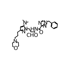 CN(C)c1cc(CCCN2CCOCC2)nn1CCC(C=O)NC(=O)c1ncn(Cc2ccccc2)n1